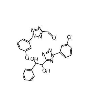 O=Cc1nnn(-c2cccc(Cl)c2)n1.OC(c1ccccc1)C(O)c1nnn(-c2cccc(Cl)c2)n1